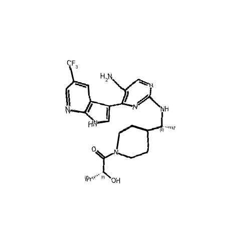 CC(C)[C@@H](O)C(=O)N1CCC([C@@H](C)Nc2ncc(N)c(-c3c[nH]c4ncc(C(F)(F)F)cc34)n2)CC1